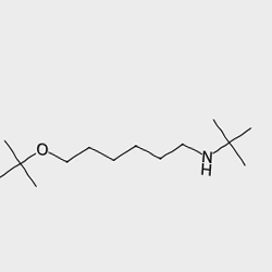 CC(C)(C)NCCCCCCOC(C)(C)C